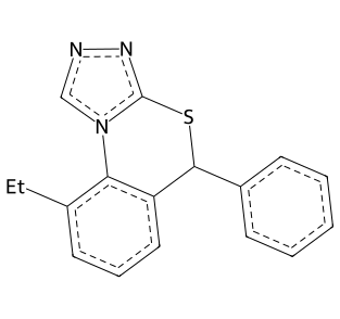 CCc1cccc2c1-n1cnnc1SC2c1ccccc1